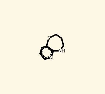 c1cnc2c(c1)SCCCN2